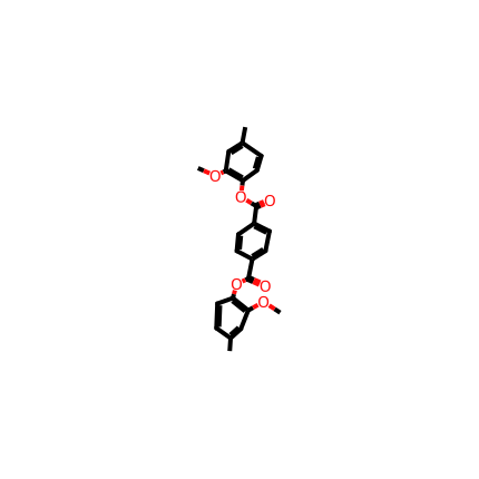 COc1cc(C)ccc1OC(=O)c1ccc(C(=O)Oc2ccc(C)cc2OC)cc1